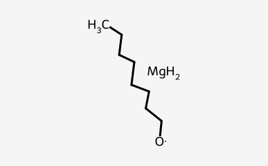 CCCCCCCC[O].[MgH2]